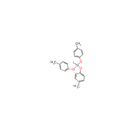 Cc1ccc([O][Ti]([I])([O]c2ccc(C)cc2)[O]c2ccc(C)cc2)cc1